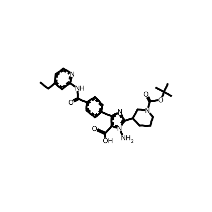 CCc1ccnc(NC(=O)c2ccc(-c3nc(C4CCCN(C(=O)OC(C)(C)C)C4)n(N)c3C(=O)O)cc2)c1